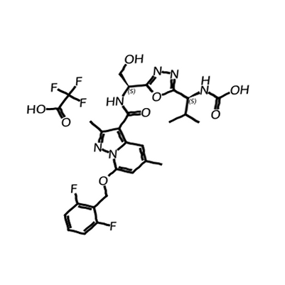 Cc1cc(OCc2c(F)cccc2F)n2nc(C)c(C(=O)N[C@@H](CO)c3nnc([C@@H](NC(=O)O)C(C)C)o3)c2c1.O=C(O)C(F)(F)F